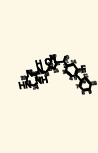 CC(c1ccc(-c2ccccc2)c(F)c1)c1cc(CNC2=NCNCN2)on1